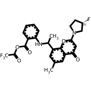 Cc1cc(C(C)Nc2ccccc2C(=O)OC(=O)C(F)(F)F)c2oc(N3CC[C@H](F)C3)cc(=O)c2c1